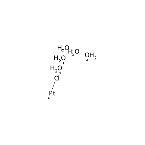 O.O.O.O.O.[Cl][Pt]